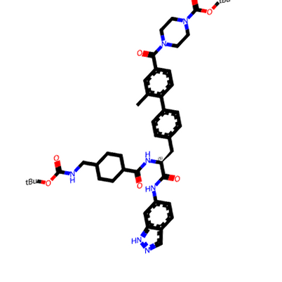 Cc1cc(C(=O)N2CCN(C(=O)OC(C)(C)C)CC2)ccc1-c1ccc(C[C@H](NC(=O)C2CCC(CNC(=O)OC(C)(C)C)CC2)C(=O)Nc2ccc3cn[nH]c3c2)cc1